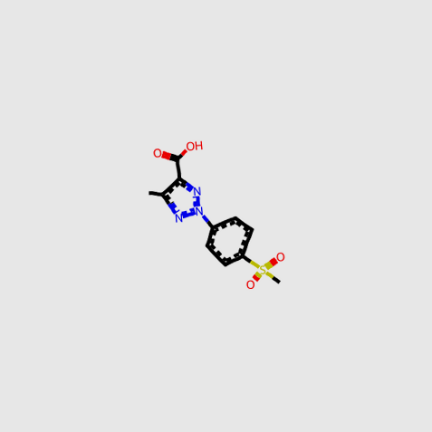 Cc1nn(-c2ccc(S(C)(=O)=O)cc2)nc1C(=O)O